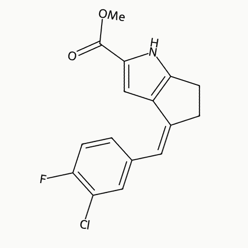 COC(=O)c1cc2c([nH]1)CCC2=Cc1ccc(F)c(Cl)c1